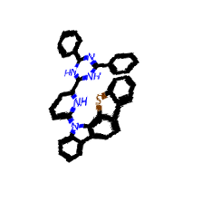 C1=CC(C2NC(c3ccccc3)=NC(c3ccccc3)N2)NC(n2c3ccccc3c3ccc4c5ccccc5sc4c32)=C1